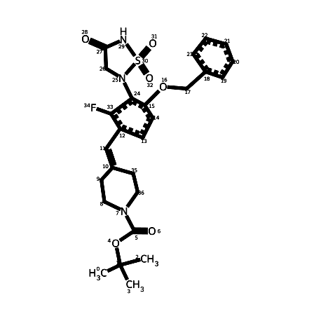 CC(C)(C)OC(=O)N1CCC(=Cc2ccc(OCc3ccccc3)c(N3CC(=O)NS3(=O)=O)c2F)CC1